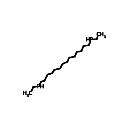 CCPCCCCCCCCCCCCCCPCC